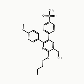 CCCCOc1nc(-c2ccc(SC)cc2)c(-c2ccc(S(N)(=O)=O)cc2)cc1CO